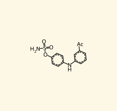 CC(=O)c1cccc(Nc2ccc(OS(N)(=O)=O)cc2)c1